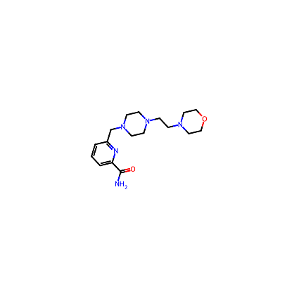 NC(=O)c1cccc(CN2CCN(CCN3CCOCC3)CC2)n1